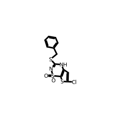 O=S1(=O)N=C(SCc2ccccc2)Nc2cc(Cl)sc21